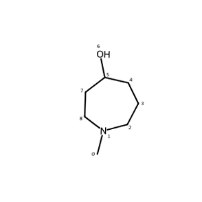 CN1CCCC(O)CC1